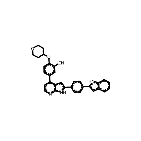 N#Cc1cc(-c2ccnc3[nH]c(-c4ccc(-c5cc6ccccc6[nH]5)cc4)cc23)ccc1OC1CCOCC1